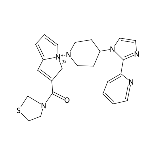 O=C(C1=CC2=CC=C[N@@+]2(N2CCC(n3ccnc3-c3ccccn3)CC2)C1)N1CCSC1